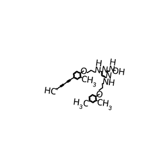 C#CC#CC#Cc1ccc(OCCCNc2cc(NCCCOc3ccc(C)cc3C)nc(NO)n2)c(C)c1